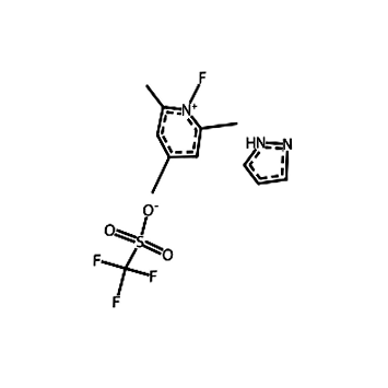 Cc1cc(C)[n+](F)c(C)c1.O=S(=O)([O-])C(F)(F)F.c1cn[nH]c1